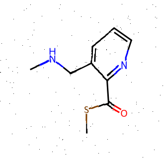 CNCc1cccnc1C(=O)SC